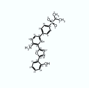 CC(C)S(=O)(=O)c1ccc(-c2cnc(N)c(-c3nnc(-c4ccccc4O)o3)n2)cc1